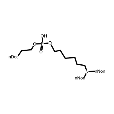 CCCCCCCCCCCCOP(=O)(O)OCCCCCCN(CCCCCCCCC)CCCCCCCCC